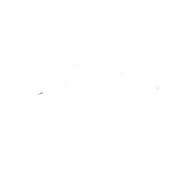 CC1(O)CCCC(N2CCOc3c(Cl)c(-c4ccc(F)c5sc(N)c(C#N)c45)c(F)c4nc(OC[C@@]56CCCN5C[C@H](F)C6)nc2c34)C1